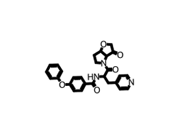 O=C(NC(Cc1ccncc1)C(=O)N1CCC2OCC(=O)C21)c1ccc(Oc2ccccc2)cc1